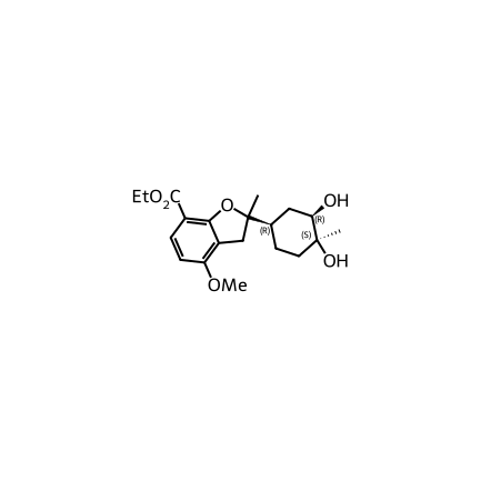 CCOC(=O)c1ccc(OC)c2c1OC(C)([C@@H]1CC[C@](C)(O)[C@H](O)C1)C2